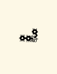 O=C(N[C@H](CO)Cc1ccccc1)c1ccc(-c2ccccc2)cc1